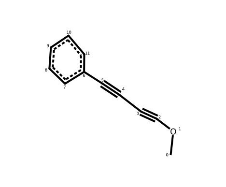 COC#CC#Cc1ccccc1